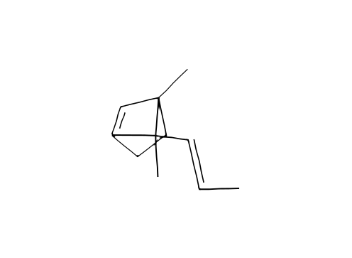 C/C=C/C1(C)C2=CC1(C)CC2